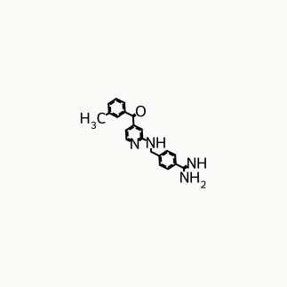 Cc1cccc(C(=O)c2ccnc(NCc3ccc(C(=N)N)cc3)c2)c1